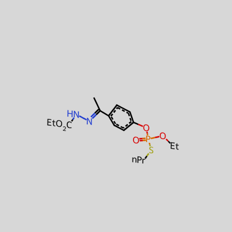 CCCSP(=O)(OCC)Oc1ccc(C(C)=NNC(=O)OCC)cc1